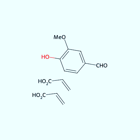 C=CC(=O)O.C=CC(=O)O.COc1cc(C=O)ccc1O